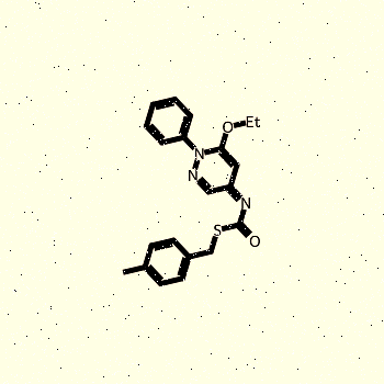 CCOc1cc(=NC(=O)SCc2ccc(C)cc2)cnn1-c1ccccc1